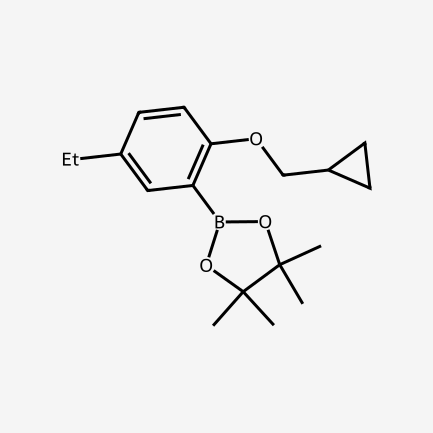 CCc1ccc(OCC2CC2)c(B2OC(C)(C)C(C)(C)O2)c1